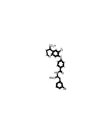 COC(Cc1cccc(Br)c1)NC(=O)c1ccc(Oc2cc3c(cc2Cl)C(C(=O)O)CCO3)cc1